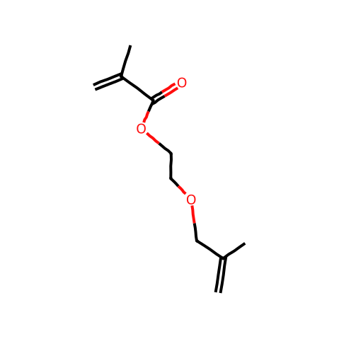 C=C(C)COCCOC(=O)C(=C)C